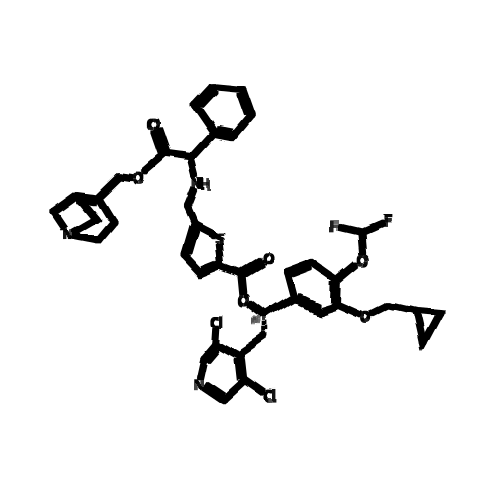 O=C(O[C@@H](Cc1c(Cl)cncc1Cl)c1ccc(OC(F)F)c(OCC2CC2)c1)c1ccc(CNC(C(=O)OCC2=C3CN(CC2)C3)c2ccccc2)s1